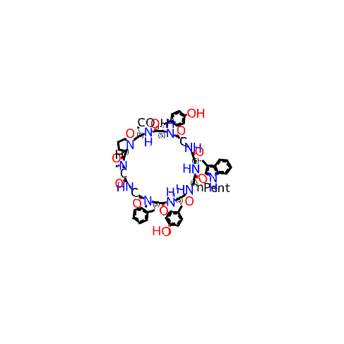 CCCCC[C@@H]1NC(=O)[C@H](Cc2ccc(O)cc2)NC(=O)[C@H](Cc2ccccc2)N(C)C(=O)CNC(=O)CN(C)C(=O)[C@H]2CCCN2C(=O)[C@H](CC(=O)O)NC(=O)[C@H](Cc2ccc(O)cc2)NC(=O)CNC(=O)[C@H](Cc2c[nH]c3ccccc23)NC1=O